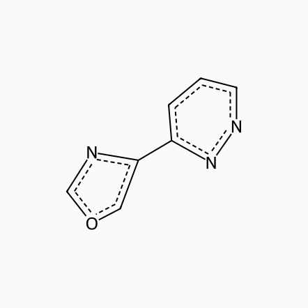 c1cnnc(-c2cocn2)c1